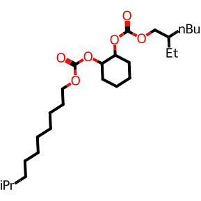 CCCCC(CC)COC(=O)OC1CCCCC1OC(=O)OCCCCCCCCC(C)C